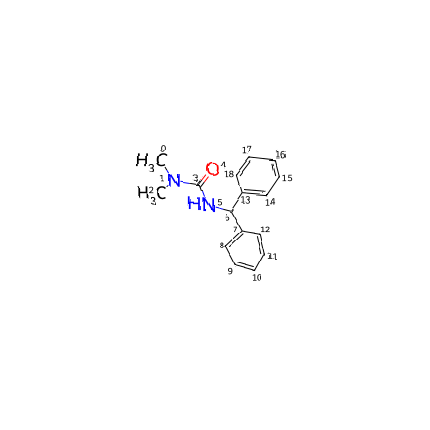 CN(C)C(=O)NC(c1ccccc1)c1ccccc1